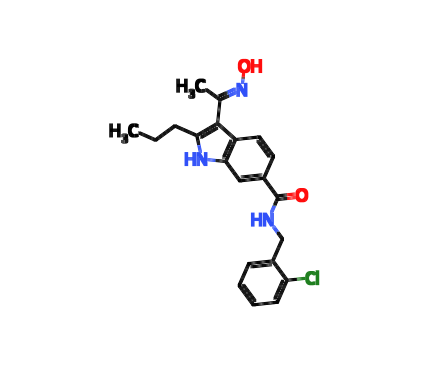 CCCc1[nH]c2cc(C(=O)NCc3ccccc3Cl)ccc2c1C(C)=NO